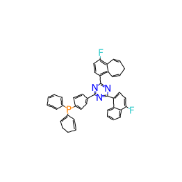 Fc1ccc(-c2nc(-c3ccc(P(C4=CCCC=C4)c4ccccc4)cc3)nc(-c3ccc(F)c4ccccc34)n2)c2c1C=CCC=C2